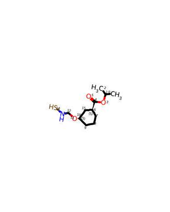 CC(C)OC(=O)[C@H]1CCC[C@H](OCNS)C1